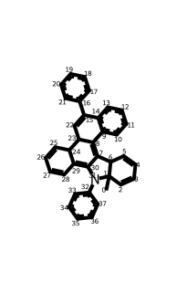 CC12C=CC=CC1C1=C3c4ccccc4C(c4ccccc4)=CC3C3C=CC=CC3=C1N2c1ccccc1